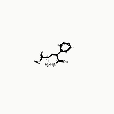 COC(=O)[C@@H](N)CC(C(N)=O)c1ccccc1